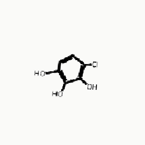 Oc1ccc(Cl)c(O)c1O